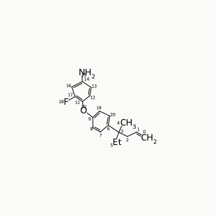 C=CCC(C)(CC)c1ccc(Oc2ccc(N)cc2F)cc1